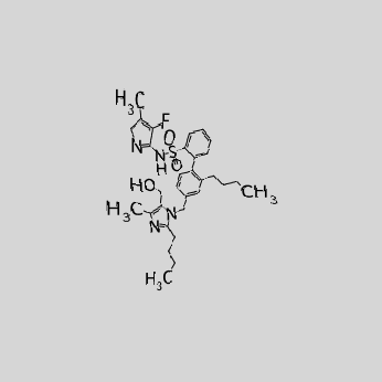 CCCCc1cc(Cn2c(CCCC)nc(C)c2CO)ccc1-c1ccccc1S(=O)(=O)NC1=NCC(C)=C1F